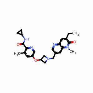 CCc1cc2ncc(CN3CC(Oc4cnc(C(=O)NC5CC5)c(C)c4)C3)cc2n(C)c1=O